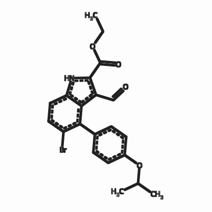 CCOC(=O)c1[nH]c2ccc(Br)c(-c3ccc(OC(C)C)cc3)c2c1C=O